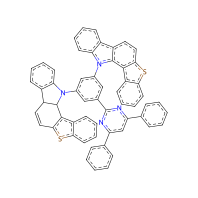 C1=CC2c3ccccc3N(c3cc(-c4nc(-c5ccccc5)cc(-c5ccccc5)n4)cc(-n4c5ccccc5c5ccc6sc7ccccc7c6c54)c3)C2c2c1sc1ccccc21